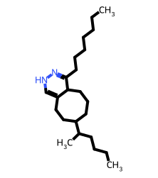 CCCCCCCC1=NNC=C2CCC(C(C)CCCC)CCCC21